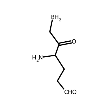 BCC(=O)C(N)CCC=O